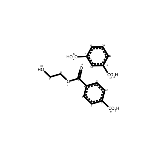 O=C(O)c1ccc(C(=O)OCCO)cc1.O=C(O)c1cccc(C(=O)O)c1